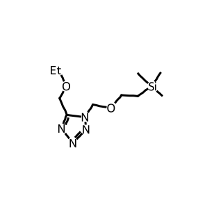 CCOCc1nnnn1COCC[Si](C)(C)C